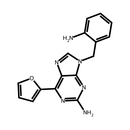 Nc1nc(-c2ccco2)c2ncn(Cc3ccccc3N)c2n1